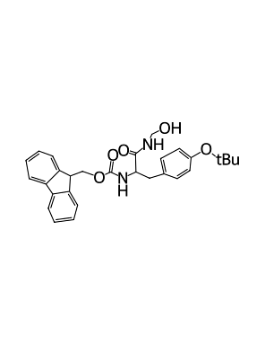 CC(C)(C)Oc1ccc(CC(NC(=O)OCC2c3ccccc3-c3ccccc32)C(=O)NCO)cc1